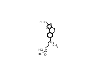 CCCCCCc1nc2c(s1)-c1ccc([C@H](CN)CCCOP(=O)(O)O)cc1CC2